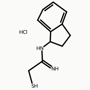 Cl.N=C(CS)NC1CCc2ccccc21